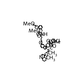 COCCOc1cccc(C[C@@H](NC(=O)CCCOc2ccc3c(c2)C2(CCC(C(=O)OC)(N(C(=O)C(F)(F)F)c4cccc(Cl)c4)CC2)[C@@H](C[C@@H](C)COc2ccnc4c2[C@H](C)CCC4)C3)C(=O)OC)c1